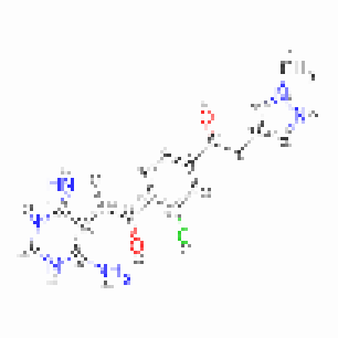 Cn1cc(CC(=O)c2ccc(C(=O)c3c[nH]c4ncnc(N)c34)c(Cl)c2)cn1